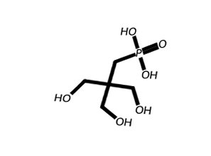 O=P(O)(O)CC(CO)(CO)CO